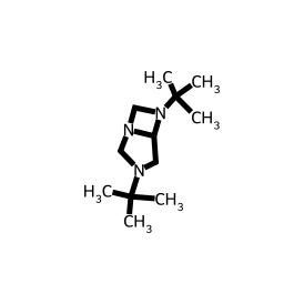 CC(C)(C)N1CC2N(C1)CN2C(C)(C)C